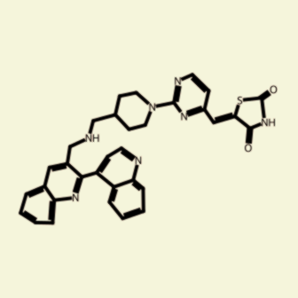 O=C1NC(=O)/C(=C/c2ccnc(N3CCC(CNCc4cc5ccccc5nc4-c4ccnc5ccccc45)CC3)n2)S1